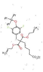 C=CCOC(=O)C(CCCCC(=O)OCC)(Cc1cc(F)c(O[Si](C(C)C)(C(C)C)C(C)C)c(F)c1)C(=O)OCC=C